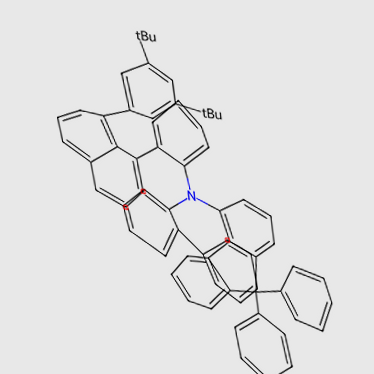 CC(C)(C)c1cc(-c2cccc3cccc(-c4ccccc4N(c4ccccc4-c4ccccc4)c4cccc5c4-c4ccccc4C5(c4ccccc4)c4ccccc4)c23)cc(C(C)(C)C)c1